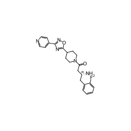 N[C@@H](CC(=O)N1CCC(c2nc(-c3ccncc3)no2)CC1)Cc1ccccc1F